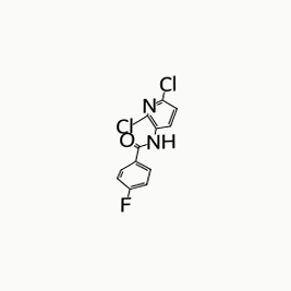 O=C(Nc1ccc(Cl)nc1Cl)c1ccc(F)cc1